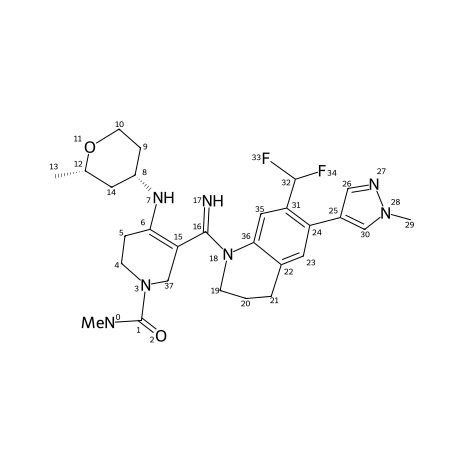 CNC(=O)N1CCC(N[C@H]2CCO[C@@H](C)C2)=C(C(=N)N2CCCc3cc(-c4cnn(C)c4)c(C(F)F)cc32)C1